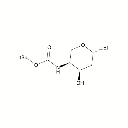 CC[C@@H]1C[C@@H](O)[C@@H](NC(=O)OC(C)(C)C)CO1